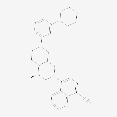 C[C@@H]1CN(c2ccc(C#N)c3ncccc23)C[C@@H]2CN(c3cc(N4CCNCC4)ccn3)CCN21